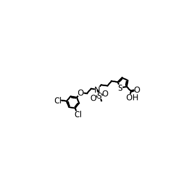 CS(=O)(=O)N(CCCc1ccc(C(=O)O)s1)CCOc1cc(Cl)cc(Cl)c1